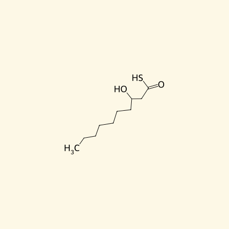 CCCCCCCC(O)CC(=O)S